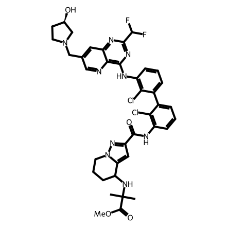 COC(=O)C(C)(C)NC1CCCn2nc(C(=O)Nc3cccc(-c4cccc(Nc5nc(C(F)F)nc6cc(CN7CC[C@@H](O)C7)cnc56)c4Cl)c3Cl)cc21